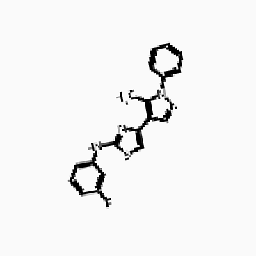 Cc1c(-c2csc(Nc3cccc(F)c3)n2)cnn1-c1ccccc1